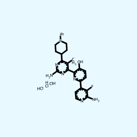 Cc1c(-c2nc(-c3ccnc(N)c3F)ccc2O)nc(N)nc1C1CCN(C(C)C)CC1.Cl.Cl.Cl